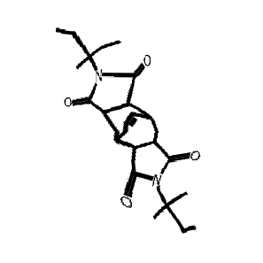 CCC(C)(C)N1C(=O)C2C3C=CC(C2C1=O)C1C(=O)N(C(C)(C)CC)C(=O)C31